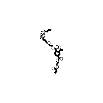 C=CC(=O)OCCOC(=O)c1ccc(C(=O)OCCOCCC[Si](C)(C)O[Si](C)(C)CCCC)c(C(C)=O)c1